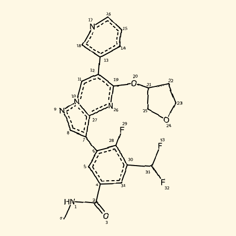 CNC(=O)c1cc(-c2cnn3cc(-c4cccnc4)c(OC4CCOC4)nc23)c(F)c(C(F)F)c1